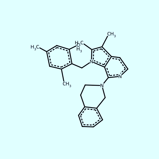 Cc1cc(C)c(Cn2c(C)c(C)c3ccnc(N4CCc5ccccc5C4)c32)c(C)c1